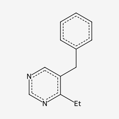 CCc1ncncc1Cc1ccccc1